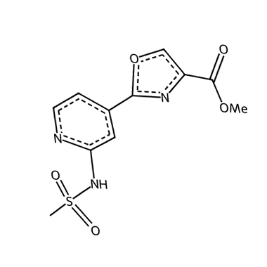 COC(=O)c1coc(-c2ccnc(NS(C)(=O)=O)c2)n1